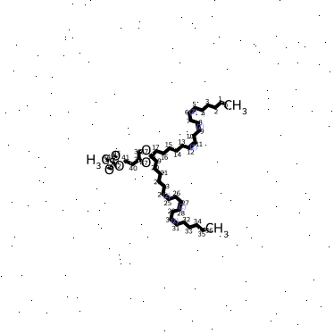 CCCCC/C=C\C/C=C\C/C=C\CCCCCC1(CCCCC/C=C\C/C=C\C/C=C\CCCCC)OCC(CCOS(C)(=O)=O)O1